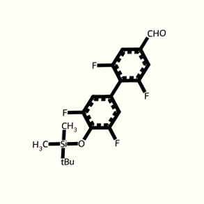 CC(C)(C)[Si](C)(C)Oc1c(F)cc(-c2c(F)cc(C=O)cc2F)cc1F